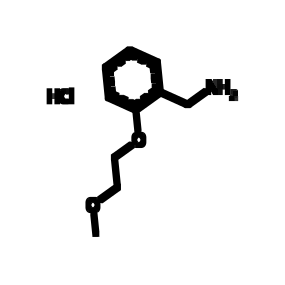 COCCOc1ccccc1CN.Cl